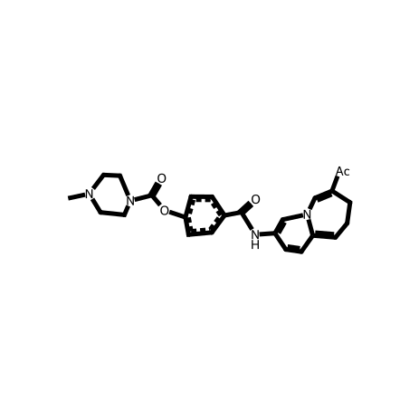 CC(=O)C1=CN2C=C(NC(=O)c3ccc(OC(=O)N4CCN(C)CC4)cc3)C=CC2=CCC1